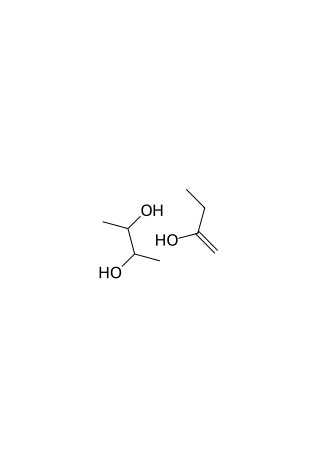 C=C(O)CC.CC(O)C(C)O